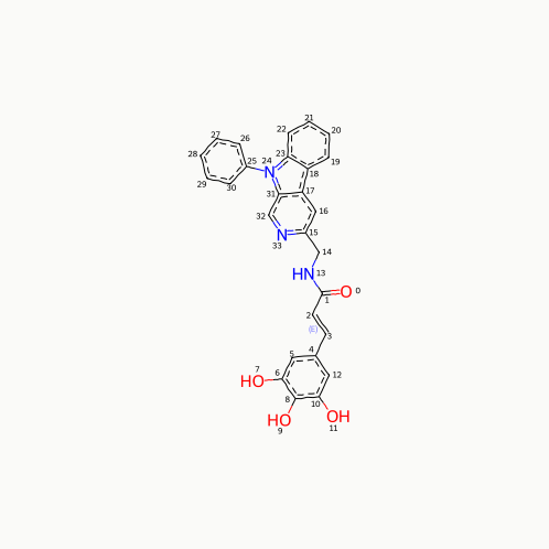 O=C(/C=C/c1cc(O)c(O)c(O)c1)NCc1cc2c3ccccc3n(-c3ccccc3)c2cn1